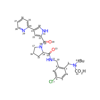 CC(C)(C)N(Cc1ccc(Cl)cc1CNC(=O)C1CCCN1C(=O)c1cc(-c2ccccn2)c[nH]1)C(=O)O